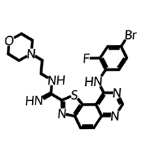 N=C(NCCN1CCOCC1)c1nc2ccc3ncnc(Nc4ccc(Br)cc4F)c3c2s1